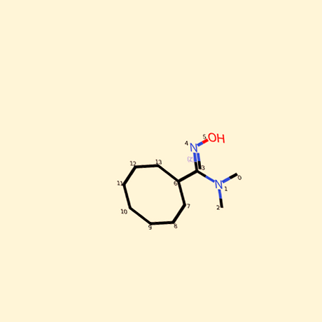 CN(C)/C(=N\O)C1CCCCCCC1